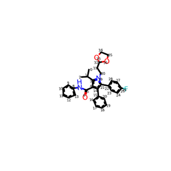 CC(C)c1c(C(=O)Nc2ccccc2)c(-c2ccccc2)c(-c2ccc(F)cc2)n1CCC1OCCO1